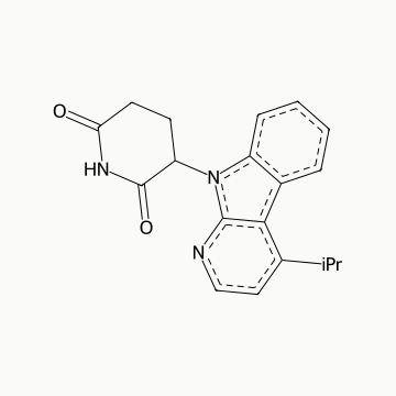 CC(C)c1ccnc2c1c1ccccc1n2C1CCC(=O)NC1=O